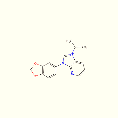 CC(C)[n+]1cn(-c2ccc3c(c2)OCO3)c2ncccc21